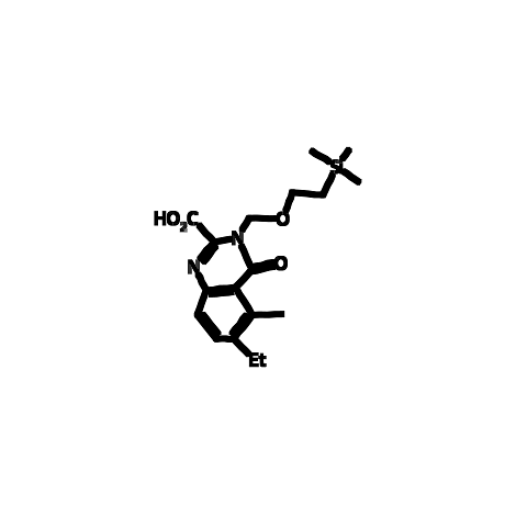 CCc1ccc2nc(C(=O)O)n(COCC[Si](C)(C)C)c(=O)c2c1C